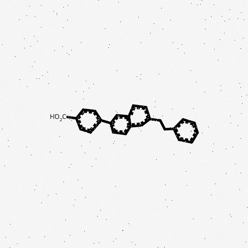 O=C(O)c1ccc(-c2ccc3cc(CCc4ccccc4)ccc3c2)cc1